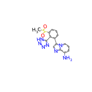 CS(=O)(=O)c1cccc(-c2cnc3c(N)cccn23)c1-c1nnn[nH]1